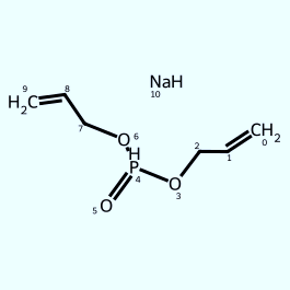 C=CCO[PH](=O)OCC=C.[NaH]